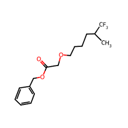 CC(CCCCOCC(=O)OCc1ccccc1)C(F)(F)F